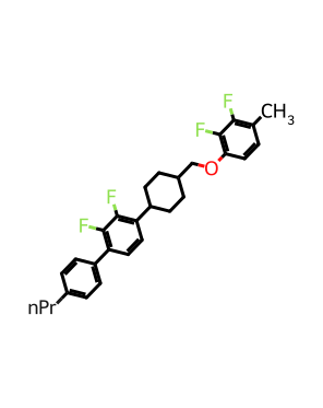 CCCc1ccc(-c2ccc(C3CCC(COc4ccc(C)c(F)c4F)CC3)c(F)c2F)cc1